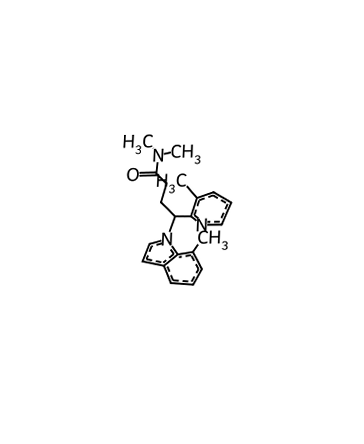 Cc1cccnc1C(CCC(=O)N(C)C)n1ccc2cccc(C)c21